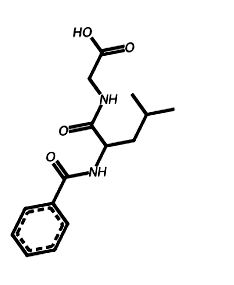 CC(C)CC(NC(=O)c1ccccc1)C(=O)NCC(=O)O